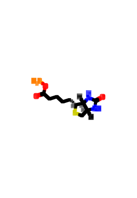 O=C1N[C@@H]2[C@@H](CS[C@@H]2CCCCC(=O)OP)N1